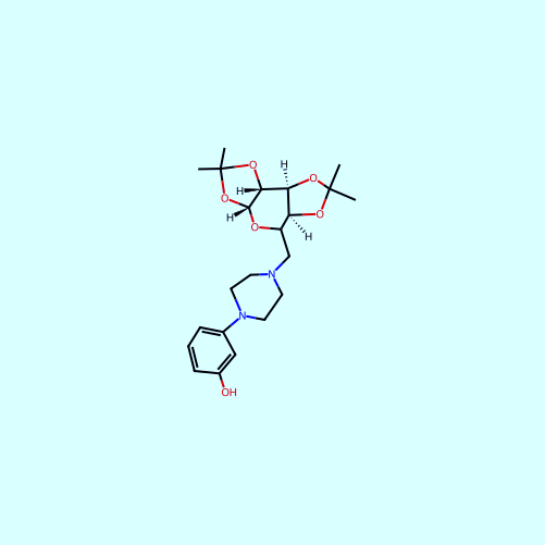 CC1(C)O[C@H]2OC(CN3CCN(c4cccc(O)c4)CC3)[C@@H]3OC(C)(C)O[C@@H]3[C@H]2O1